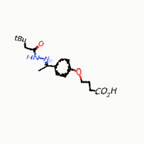 C/C(=N\NC(=O)CC(C)(C)C)c1ccc(OCCCC(=O)O)cc1